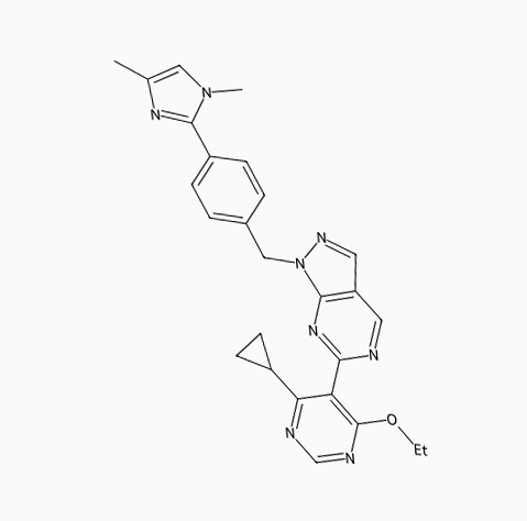 CCOc1ncnc(C2CC2)c1-c1ncc2cnn(Cc3ccc(-c4nc(C)cn4C)cc3)c2n1